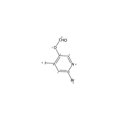 O=COc1cnc(Br)cc1I